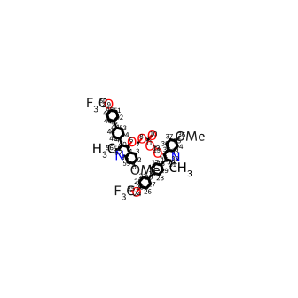 COc1ccc2c(OCOC(=O)OCOc3c(-c4ccc(-c5ccc(OC(F)(F)F)cc5)cc4)c(C)nc4cc(OC)ccc34)c(-c3ccc(-c4ccc(OC(F)(F)F)cc4)cc3)c(C)nc2c1